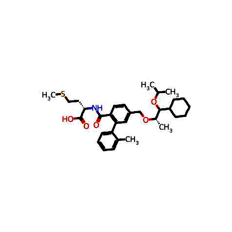 CSCC[C@H](NC(=O)c1ccc(CO[C@@H](C)C(OC(C)C)C2CCCCC2)cc1-c1ccccc1C)C(=O)O